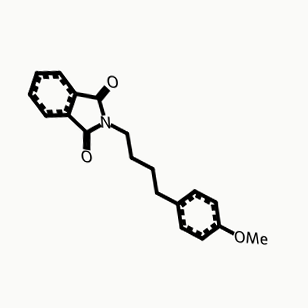 COc1ccc(CCCCN2C(=O)c3ccccc3C2=O)cc1